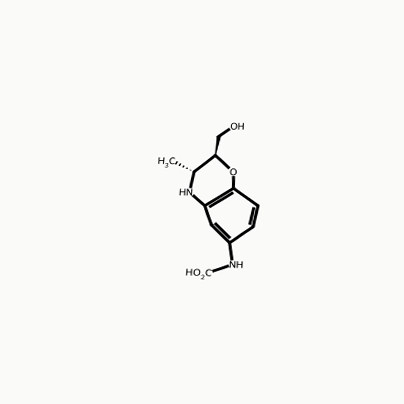 C[C@H]1Nc2cc(NC(=O)O)ccc2O[C@@H]1CO